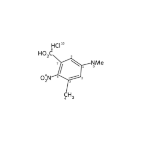 CNc1cc(C)c([N+](=O)[O-])c(C(=O)O)c1.Cl